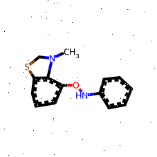 CN1CSc2cccc(ONc3ccccc3)c21